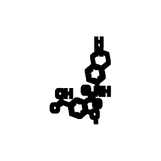 COc1ccc(C(=O)O)cc1S(=O)(=O)Nc1ccc2c(c1)CCNC2